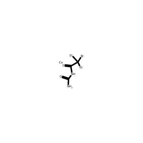 CCC(Br)(CC)C(=O)NC(N)=O.[Co]